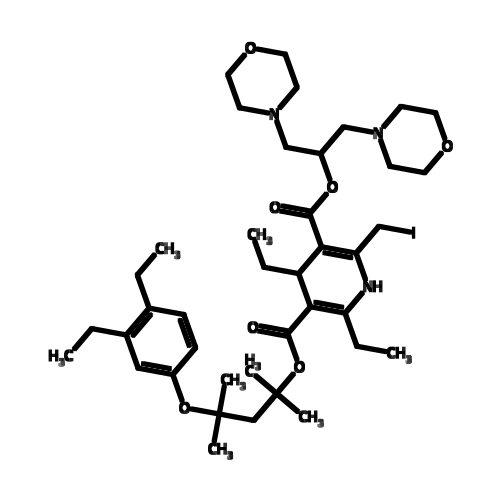 CCC1=C(C(=O)OC(C)(C)CC(C)(C)Oc2ccc(CC)c(CC)c2)C(CC)C(C(=O)OC(CN2CCOCC2)CN2CCOCC2)=C(CI)N1